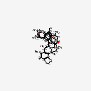 CCCC(=O)Oc1cc2c(cc1OC)[C@@]1(CS[C@@H]3c4c(O)c(C)c5c(c4[C@H](COC1=O)N1C3[C@H]3c4c(cc(C)c(OC)c4OC(=O)CCC)C[C@H]([C@@H]1C#N)N3C(=O)OC(C)(C)C)OCO5)NCC2